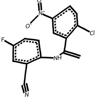 C=C(Nc1ccc(F)cc1C#N)c1cc([N+](=O)[O-])ccc1Cl